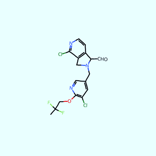 CC(F)(F)COc1ncc(CN2Cc3c(ccnc3Cl)C2C=O)cc1Cl